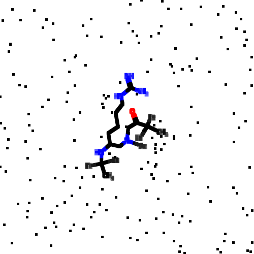 CCC(C)(CC)NC(CCCCNC(=N)N)CN(CC(=O)C(C)(CC)CC)C(C)=O